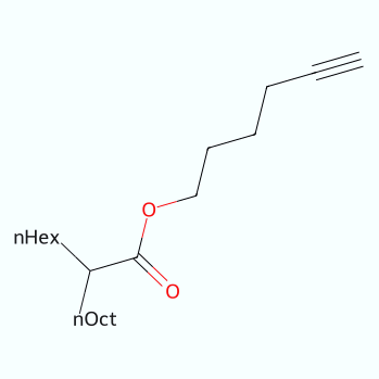 C#CCCCCOC(=O)C(CCCCCC)CCCCCCCC